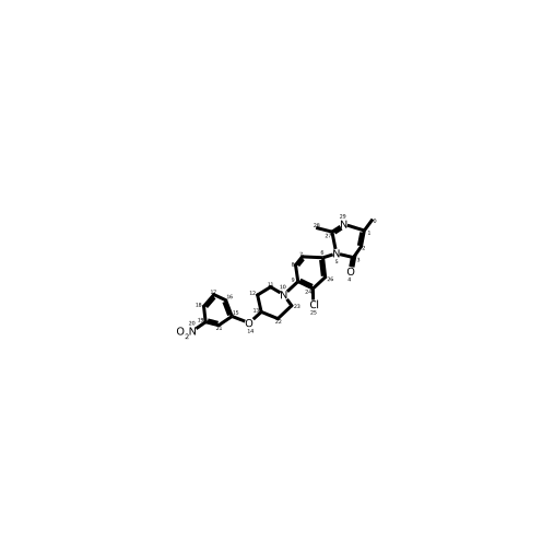 Cc1cc(=O)n(-c2ccc(N3CCC(Oc4cccc([N+](=O)[O-])c4)CC3)c(Cl)c2)c(C)n1